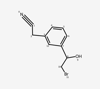 N#CCc1cccc(C(O)CBr)c1